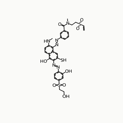 C=CS(=O)(=O)CCN(C)C(=O)c1cccc(/N=N/c2c(NC)ccc3c(O)c(/N=N/c4ccc(S(=O)(=O)CCO)cc4O)c(S)cc23)c1